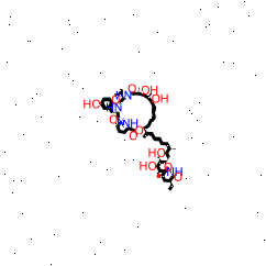 CC[C@H]1C[C@H](C)[C@@]2(NC1=O)O[C@@H](C[C@H](O)[C@@H](C)CC/C=C/C=C(\C)[C@@H]1C/C=C/C=C/[C@H](O)[C@H](C)[C@@H](O)[C@@H](C)C(=O)N[C@@H](C(C)C)C(=O)N[C@@H](Cc3cccc(O)c3)C(=O)N3CCCC(N3)C(=O)O1)[C@H](C)[C@H](O)[C@@H]2C